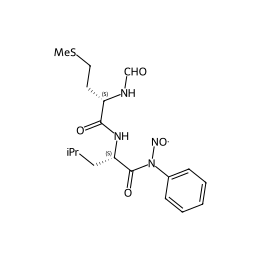 CSCC[C@H](NC=O)C(=O)N[C@@H](CC(C)C)C(=O)N([N+]=O)c1ccccc1